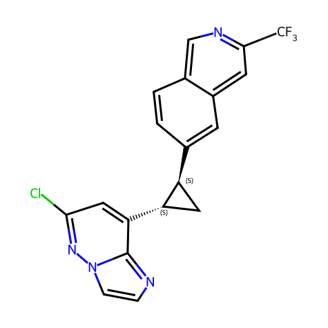 FC(F)(F)c1cc2cc([C@H]3C[C@@H]3c3cc(Cl)nn4ccnc34)ccc2cn1